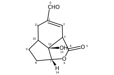 O=CC1=CC2C(=O)O[C@@H]3CCC(C1)[C@]23O